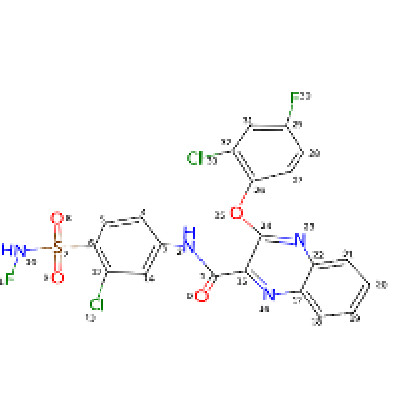 O=C(Nc1ccc(S(=O)(=O)NF)c(Cl)c1)c1nc2ccccc2nc1Oc1ccc(F)cc1Cl